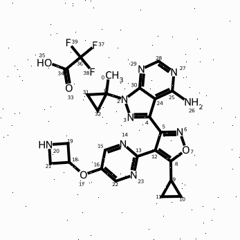 CC1(n2nc(-c3noc(C4CC4)c3-c3ncc(OC4CNC4)cn3)c3c(N)ncnc32)CC1.O=C(O)C(F)(F)F